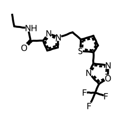 CCNC(=O)c1ccn(Cc2ccc(-c3noc(C(F)(F)F)n3)s2)n1